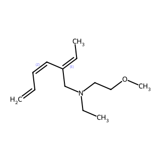 C=C/C=C\C(=C/C)CN(CC)CCOC